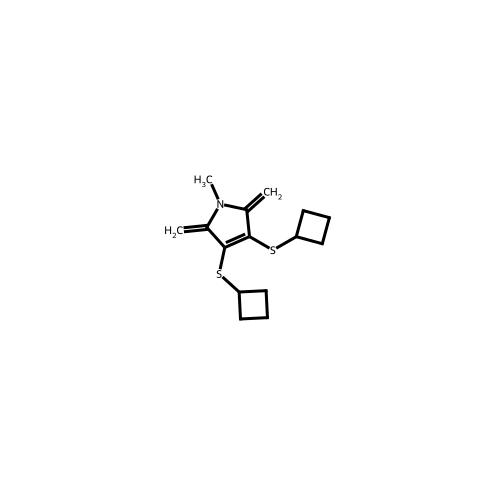 C=c1c(SC2CCC2)c(SC2CCC2)c(=C)n1C